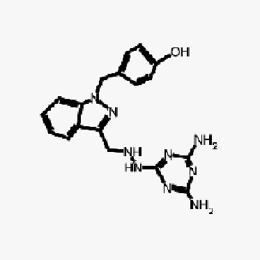 Nc1nc(N)nc(NNCc2nn(Cc3ccc(O)cc3)c3ccccc23)n1